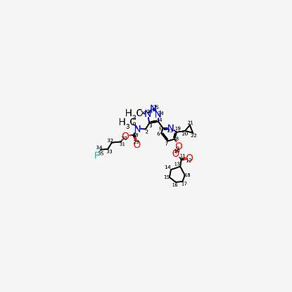 CN(Cc1c(-c2ccc(OOC(=O)C3CCCCC3)c(C3CC3)n2)nnn1C)C(=O)OCCCCF